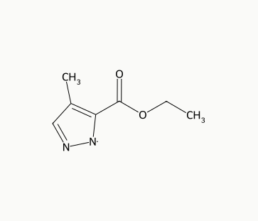 CCOC(=O)C1=C(C)C=N[N]1